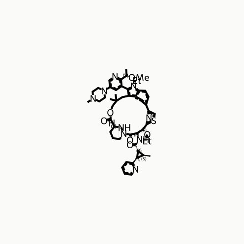 CCO[C@@H]1c2nc(cs2)-c2ccc3c(c2)c(c(-c2cc(N4CCN(C)CC4)cnc2[C@H](C)OC)n3CC)CC(C)(C)COC(=O)[C@@H]2CCCN(N2)C(=O)[C@H]1NC(=O)[C@@H]1[C@@H](C)[C@H]1c1ccccn1